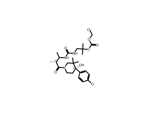 CC(NC(=O)NCC(C)(C)OC(=O)OCCl)[C@@H](C)C(=O)N1CC[C@](O)(c2ccc(Cl)cc2)C(C)(C)C1